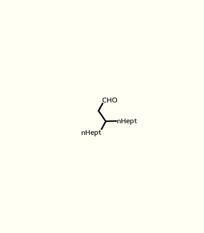 CCCCCCCC(CC=O)CCCCCCC